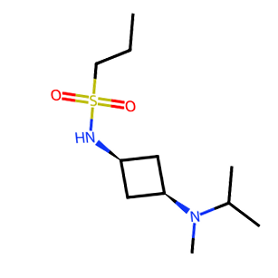 CCCS(=O)(=O)N[C@H]1C[C@@H](N(C)C(C)C)C1